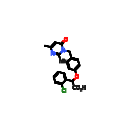 CCCCc1nc(C)cc(=O)n1Cc1ccc(OC(C(=O)O)c2ccccc2Cl)cc1